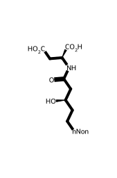 CCCCCCCCCCC[C@@H](O)CC(=O)N[C@@H](CC(=O)O)C(=O)O